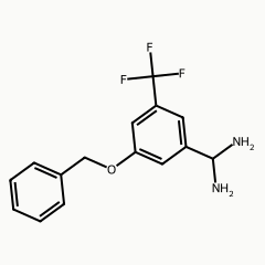 NC(N)c1cc(OCc2ccccc2)cc(C(F)(F)F)c1